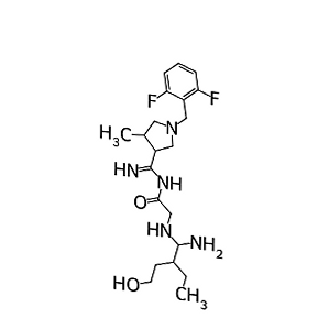 CCC(CCO)C(N)NCC(=O)NC(=N)C1CN(Cc2c(F)cccc2F)CC1C